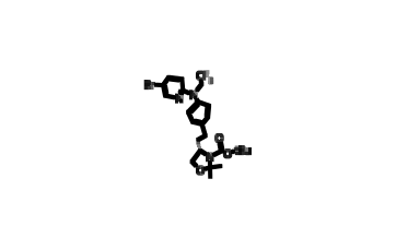 CC(C)(C)OC(=O)N1[C@@H](CCc2ccc(N(CC(F)(F)F)c3ccc(Br)cn3)cc2)COC1(C)C